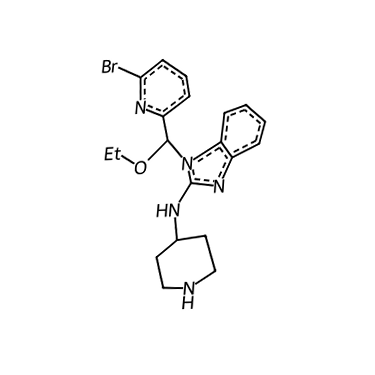 CCOC(c1cccc(Br)n1)n1c(NC2CCNCC2)nc2ccccc21